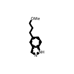 COCCCc1ccc2[nH]ncc2c1